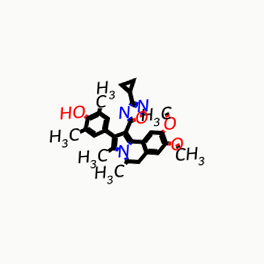 COc1cc2c(cc1OC)-c1c(-c3nc(C4CC4)no3)c(-c3cc(C)c(O)c(C)c3)c(C)n1C(C)C2